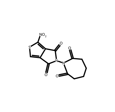 O=C1CCCCC(=O)N1N1C(=O)c2csc([N+](=O)[O-])c2C1=O